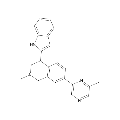 Cc1cncc(-c2ccc3c(c2)CN(C)CC3c2cc3ccccc3[nH]2)n1